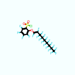 O=S(=O)(Cl)c1c(F)c(F)c(F)c(F)c1OC(F)=C(F)C(F)(F)C(F)(F)C(F)(F)C(F)(F)C(F)(F)C(F)(F)C(F)(F)F